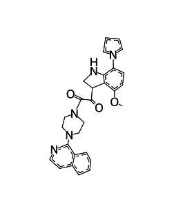 COc1ccc(-n2cccc2)c2c1C(C(=O)C(=O)N1CCN(c3nccc4ccccc34)CC1)CN2